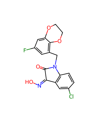 O=C1/C(=N\O)c2cc(Cl)ccc2N1Cc1cc(F)cc2c1OCCO2